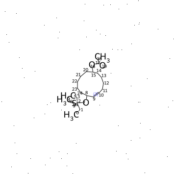 CC[Si](CC)(CC)OC1/C=C\CCCCC(OC(C)=O)CCCCC1